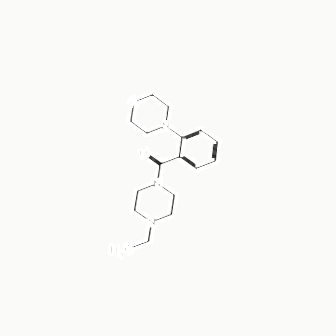 CCN1CCN(C(=O)c2ccccc2N2CCOCC2)CC1